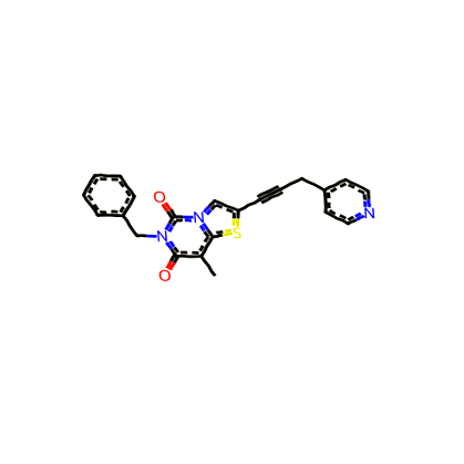 Cc1c(=O)n(Cc2ccccc2)c(=O)n2cc(C#CCc3ccncc3)sc12